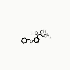 CC[C@H](C)[C@@H](O)c1cccc(OCC2CCCCC2)c1